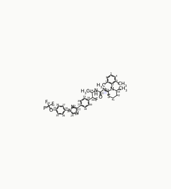 Cc1cccc(C)c1N1/C(=N/C(=O)NC(C)C(F)c2ccc(-c3ncn(-c4ccc(OC(F)(F)F)cc4)n3)cc2)SCCC1C